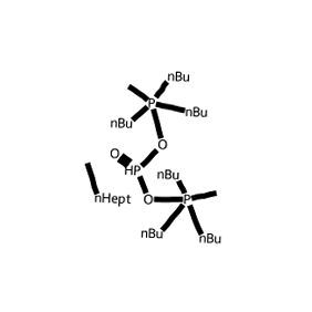 CCCCCCCC.CCCCP(C)(CCCC)(CCCC)O[PH](=O)OP(C)(CCCC)(CCCC)CCCC